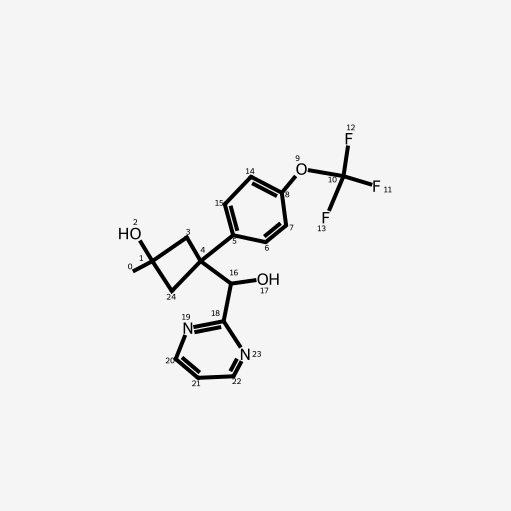 CC1(O)CC(c2ccc(OC(F)(F)F)cc2)(C(O)c2ncccn2)C1